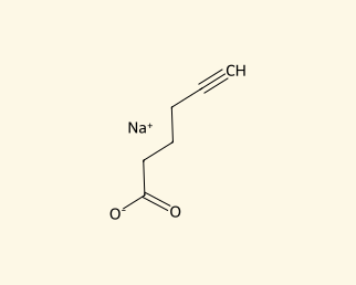 C#CCCCC(=O)[O-].[Na+]